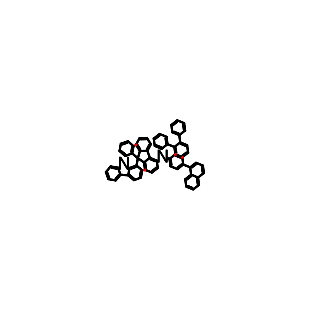 c1ccc(-c2ccccc2-c2ccccc2N(c2ccc(-c3cccc4ccccc34)cc2)c2cccc3c2-c2ccccc2C32c3ccccc3-n3c4ccccc4c4cccc2c43)cc1